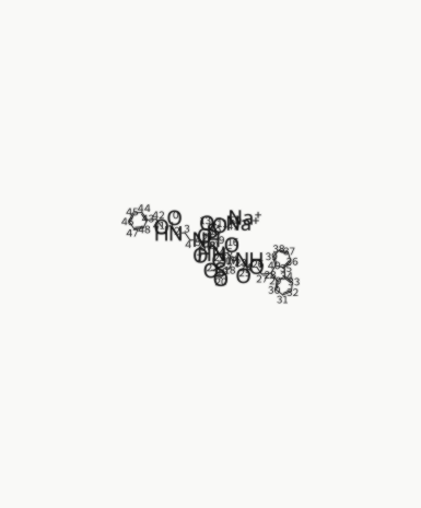 O=C(NCCNC(=O)[C@H](CS(=O)(=O)[O-])NC(=O)[C@H](CS(=O)(=O)[O-])NC(=O)OCC1c2ccccc2-c2ccccc21)OCc1ccccc1.[Na+].[Na+]